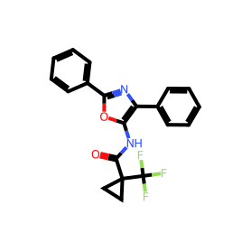 O=C(Nc1oc(-c2ccccc2)nc1-c1ccccc1)C1(C(F)(F)F)CC1